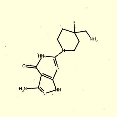 CC1(CN)CCN(c2nc3[nH]nc(N)c3c(=O)[nH]2)CC1